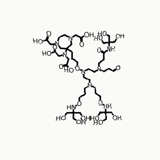 O=CCCN(CCC(=O)NC(CO)(CO)CO)CCN(CCN(CCCONC(CO)(CO)CO)CCCONC(CO)(CO)CO)OCCCC1(N(CC(=O)O)CC(=O)O)CN(CC(=O)O)CCN(CC(=O)O)C1